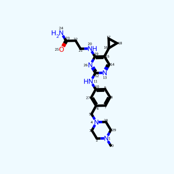 CN1CCN(Cc2cccc(Nc3ncc(C4CC4)c(NCCC(N)=O)n3)c2)CC1